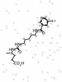 C[C@H](CCC(=O)O)NC(=O)NCCCCCNC(=O)c1cncc(I)c1